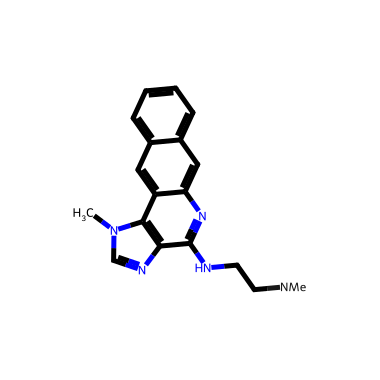 CNCCNc1nc2cc3ccccc3cc2c2c1ncn2C